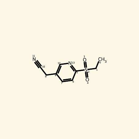 CCS(=O)(=O)c1ccc(CC#N)cn1